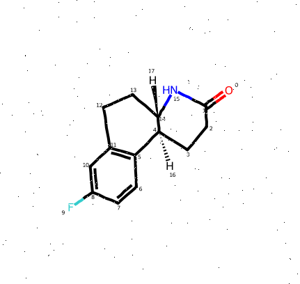 O=C1CC[C@H]2c3ccc(F)cc3CC[C@@H]2N1